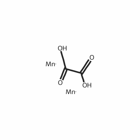 O=C(O)C(=O)O.[Mn].[Mn]